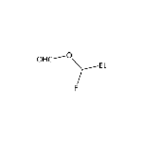 CCC(F)OC=O